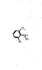 CC(C)Nc1c(Br)cccc1C(F)(F)F